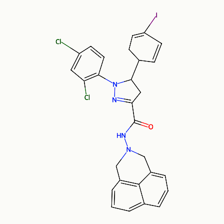 O=C(NN1Cc2cccc3cccc(c23)C1)C1=NN(c2ccc(Cl)cc2Cl)C(C2C=CC(I)=CC2)C1